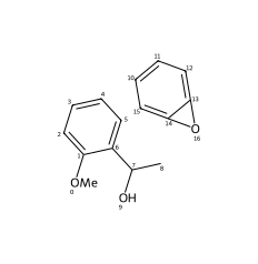 COc1ccccc1C(C)O.c1ccc2c(c1)O2